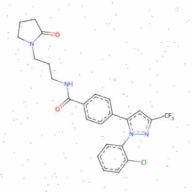 O=C(NCCCN1CCCC1=O)c1ccc(-c2cc(C(F)(F)F)nn2-c2ccccc2Cl)cc1